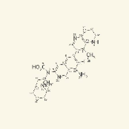 Cc1c(-c2cc3cc(N(C(=O)O)C4CC5COCC(C4)N5C)ncc3c(N)c2F)cnc2c1NCCO2